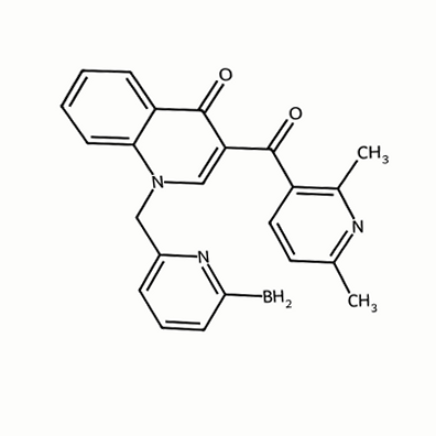 Bc1cccc(Cn2cc(C(=O)c3ccc(C)nc3C)c(=O)c3ccccc32)n1